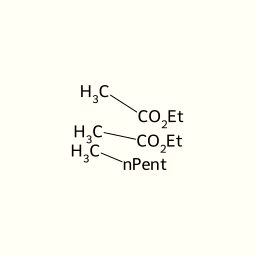 CCCCCC.CCOC(C)=O.CCOC(C)=O